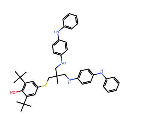 CC(CNc1ccc(Nc2ccccc2)cc1)(CNc1ccc(Nc2ccccc2)cc1)CSc1cc(C(C)(C)C)c(O)c(C(C)(C)C)c1